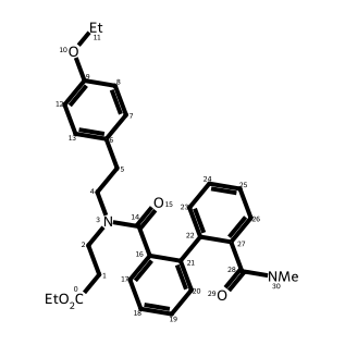 CCOC(=O)CCN(CCc1ccc(OCC)cc1)C(=O)c1ccccc1-c1ccccc1C(=O)NC